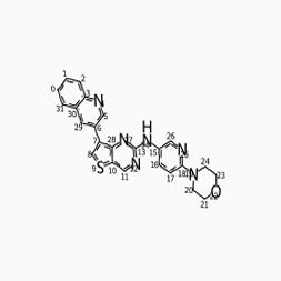 c1ccc2ncc(-c3csc4cnc(Nc5ccc(N6CCOCC6)nc5)nc34)cc2c1